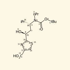 CCCN(C(=O)OC(C)(C)C)[C@H](C[C@H](O)c1nc(C(=O)O)cs1)C(C)C